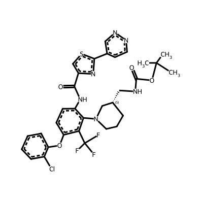 CC(C)(C)OC(=O)NC[C@@H]1CCCN(c2c(NC(=O)c3csc(-c4ccnnc4)n3)ccc(Oc3ccccc3Cl)c2C(F)(F)F)C1